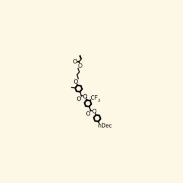 C=CC(=O)OCCCCOc1ccc(C(=O)Oc2ccc(C(=O)Oc3ccc(CCCCCCCCCC)cc3)cc2C(F)(F)F)cc1C